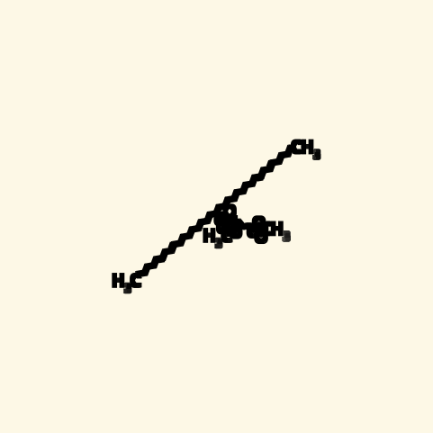 CCCCCC=CCC=CCCCCCCCCC(CCCCCCCCC=CCC=CCCCCC)OC(=O)N(CCCOS(C)(=O)=O)S(C)(=O)=O